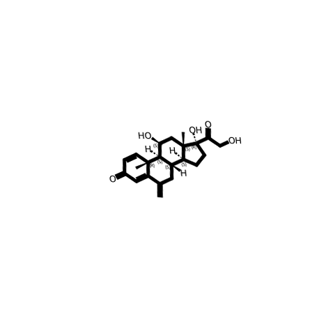 C=C1C[C@@H]2[C@H]([C@@H](O)C[C@@]3(C)[C@H]2CC[C@]3(O)C(=O)CO)[C@@]2(C)C=CC(=O)C=C12